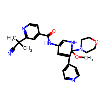 COC1(N2CCOCC2)NC=C(NC(=O)c2ccnc(C(C)(C)C#N)c2)C=C1c1ccncc1